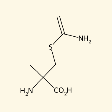 C=C(N)SCC(C)(N)C(=O)O